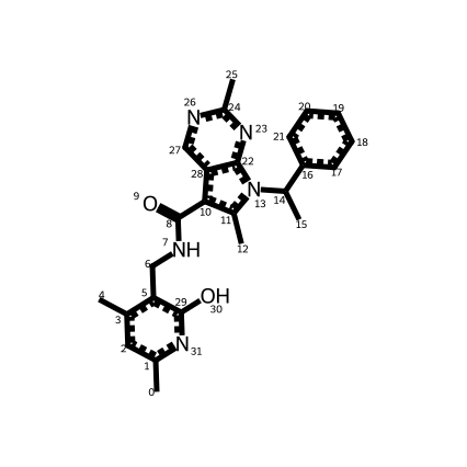 Cc1cc(C)c(CNC(=O)c2c(C)n(C(C)c3ccccc3)c3nc(C)ncc23)c(O)n1